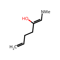 C=CCCC(O)=CNC